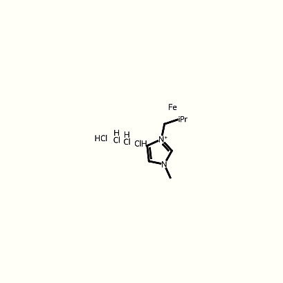 CC(C)C[n+]1ccn(C)c1.Cl.Cl.Cl.Cl.[Fe]